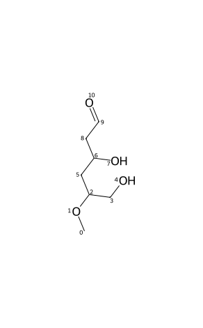 COC(CO)CC(O)CC=O